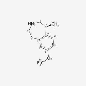 C[C@@H]1CNCCc2cc(OC(F)(F)F)ccc21